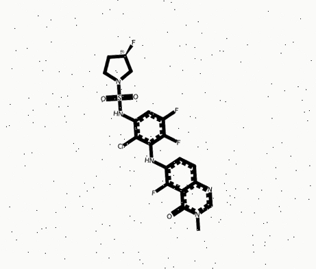 Cn1cnc2ccc(Nc3c(F)c(F)cc(NS(=O)(=O)N4CC[C@@H](F)C4)c3Cl)c(F)c2c1=O